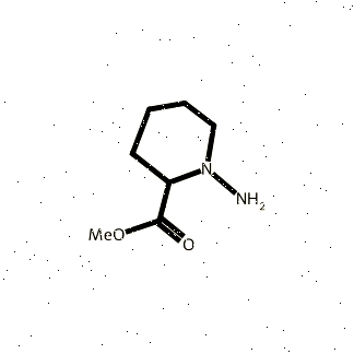 COC(=O)C1CCCCN1N